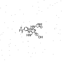 N=Cc1c(Nc2cccc(C(F)(F)F)c2)nc(NC2CNC(=O)C2)nc1N1CC(O)C1